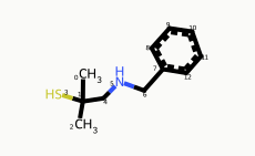 CC(C)(S)CNCc1ccccc1